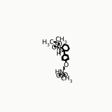 CC(C)S(=O)(=O)NC1CCCCC1(F)c1ccc(OCCNS(C)(=O)=O)cc1